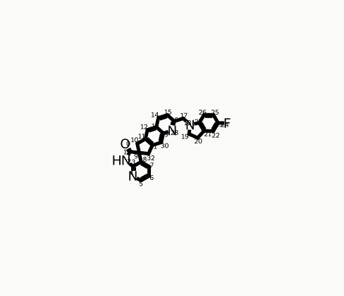 O=C1Nc2ncccc2C12Cc1cc3ccc(CN4CCc5cc(F)ccc54)nc3cc1C2